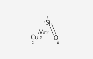 O=[Si].[Cu].[Mn]